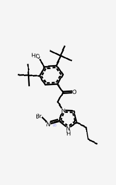 CCCc1cn(CC(=O)c2cc(C(C)(C)C)c(O)c(C(C)(C)C)c2)/c(=N\Br)[nH]1